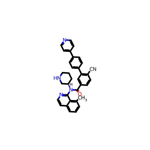 Cc1cccc2ccnc(N(C(=O)c3ccc(C#N)c(-c4ccc(-c5ccncc5)cc4)c3)[C@@H]3CCCNC3)c12